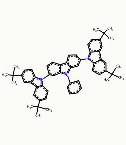 CC(C)(C)c1ccc2c(c1)c1cc(C(C)(C)C)ccc1n2-c1ccc2c3ccc(-n4c5ccc(C(C)(C)C)cc5c5cc(C(C)(C)C)ccc54)cc3n(-c3ccccc3)c2c1